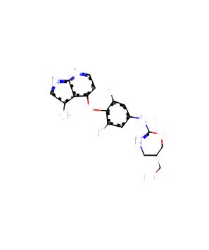 OC[C@H]1CN=C(Nc2cc(F)c(Oc3ccnc4[nH]cc(C(F)(F)F)c34)c(F)c2)OC1